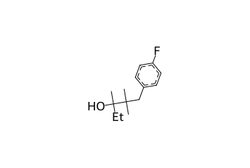 [CH2]CC(C)(O)C(C)(C)Cc1ccc(F)cc1